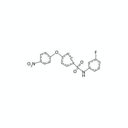 O=[N+]([O-])c1ccc(Oc2ccc(S(=O)(=O)Nc3cccc(F)c3)cc2)cc1